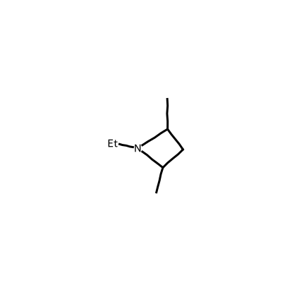 CCN1C(C)CC1C